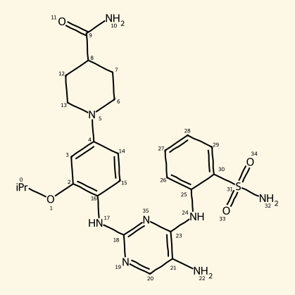 CC(C)Oc1cc(N2CCC(C(N)=O)CC2)ccc1Nc1ncc(N)c(Nc2ccccc2S(N)(=O)=O)n1